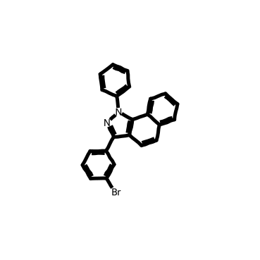 Brc1cccc(-c2nn(-c3ccccc3)c3c2ccc2ccccc23)c1